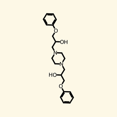 OC(COc1ccccc1)CN1CCN(CC(O)COc2ccccc2)CC1